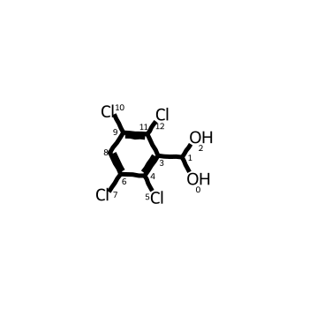 OC(O)c1c(Cl)c(Cl)cc(Cl)c1Cl